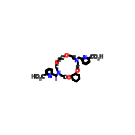 O=C(O)c1cccc(CN2CCOCCOCCN(C(I)c3cccc(C(=O)O)n3)CCOC3CCCCC3OCC2)n1